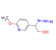 COc1ccc(C(CO)N=[N+]=[N-])cn1